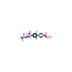 CC(=S)NCC1CN(c2cc(F)c(N3CCN(C(=O)CO)CC3)c(F)c2)C(=O)O1